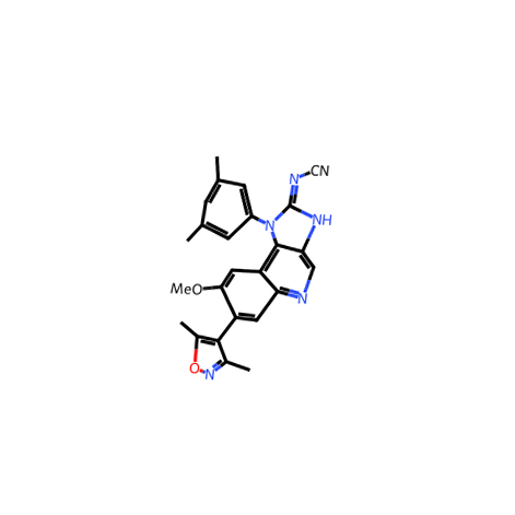 COc1cc2c(cc1-c1c(C)noc1C)ncc1[nH]c(=NC#N)n(-c3cc(C)cc(C)c3)c12